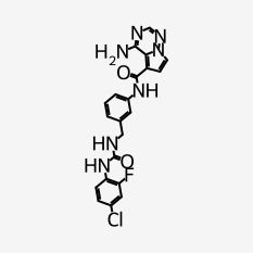 Nc1ncnn2ccc(C(=O)Nc3cccc(CNC(=O)Nc4ccc(Cl)cc4F)c3)c12